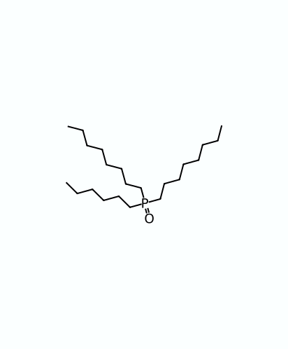 CCCCCCCCP(=O)(CCCCCC)CCCCCCCC